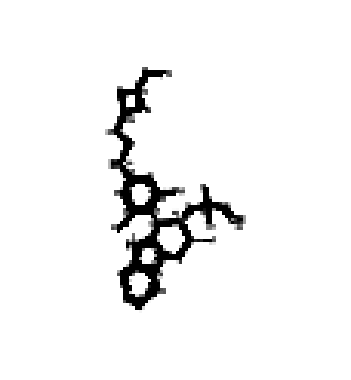 C[C@@H]1Cc2c([nH]c3ccccc23)[C@@H](c2c(F)cc(NCCN3CC(CF)C3)cc2F)N1CC(C)(C)CO